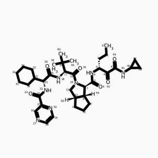 CCC[C@@H](NC(=O)[C@H]1[C@@H]2CCC[C@@H]2CN1C(=O)[C@@H](NC(=O)[C@H](NC(=O)c1cnccn1)C1CCCCC1)C(C)(C)C)C(=O)C(=O)NC1CC1